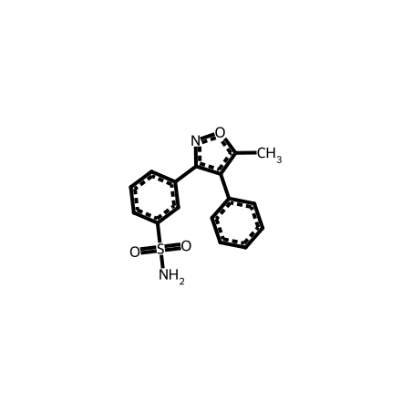 Cc1onc(-c2cccc(S(N)(=O)=O)c2)c1-c1ccccc1